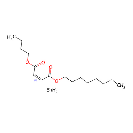 CCCCCCCCOC(=O)/C=C\C(=O)OCCCC.[SnH2]